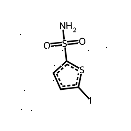 NS(=O)(=O)c1ccc(I)s1